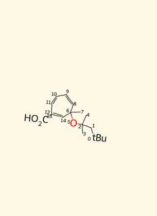 CC(C)(C)CC(C)(C)OC1(C)C=CC=CC(C(=O)O)=C1